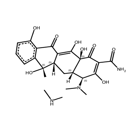 CN(C)[C@@H]1C(O)=C(C(N)=O)C(=O)[C@@]2(O)C(O)=C3C(=O)c4c(O)cccc4[C@@](C)(O)[C@H]3C[C@@H]12.CNC